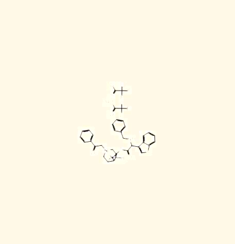 O=C(C[N+]12CCC(CC1)[C@@H](OC(=O)C(NCc1ccccc1)c1csc3ccccc13)C2)c1ccccc1.O=C(O)C(F)(F)F.O=C([O-])C(F)(F)F